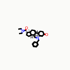 CCN(CC)C(=O)[C@H]1CC[C@H]2[C@@H]3CN(Cc4ccccc4)C4=CC(=O)CC[C@]4(C)[C@H]3CC[C@]12C